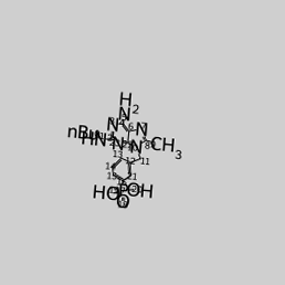 CCCCNc1nc(N)c2nc(C)n(Cc3cccc(P(=O)(O)O)c3)c2n1